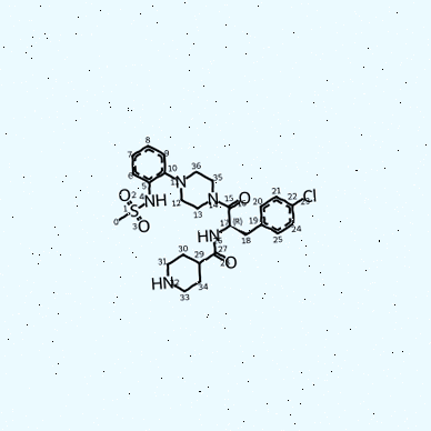 CS(=O)(=O)Nc1ccccc1N1CCN(C(=O)[C@@H](Cc2ccc(Cl)cc2)NC(=O)C2CCNCC2)CC1